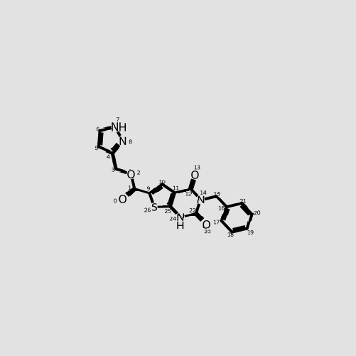 O=C(OCc1cc[nH]n1)c1cc2c(=O)n(Cc3ccccc3)c(=O)[nH]c2s1